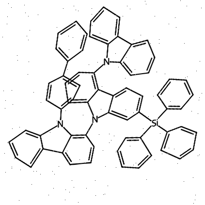 c1ccc(-c2ccc(-n3c4ccccc4c4cccc(-n5c6cc([Si](c7ccccc7)(c7ccccc7)c7ccccc7)ccc6c6c(-n7c8ccccc8c8ccccc87)cccc65)c43)cc2)cc1